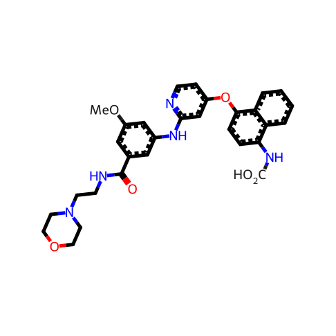 COc1cc(Nc2cc(Oc3ccc(NC(=O)O)c4ccccc34)ccn2)cc(C(=O)NCCN2CCOCC2)c1